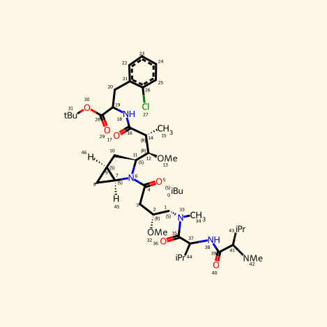 CC[C@H](C)[C@@H]([C@@H](CC(=O)N1[C@H]2C[C@H]2C[C@H]1[C@H](OC)[C@@H](C)C(=O)NC(Cc1ccccc1Cl)C(=O)OC(C)(C)C)OC)N(C)C(=O)C(NC(=O)C(NC)C(C)C)C(C)C